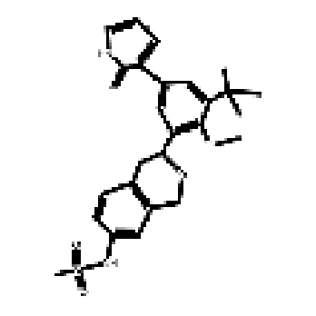 COc1c(C2Cc3ccc(NS(C)(=O)=O)cc3CO2)cc(-c2ccc[nH]c2=O)cc1C(C)(C)C